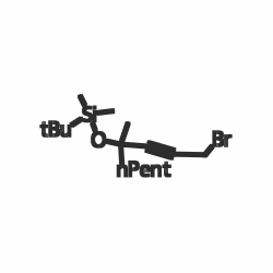 CCCCCC(C)(C#CCBr)O[Si](C)(C)C(C)(C)C